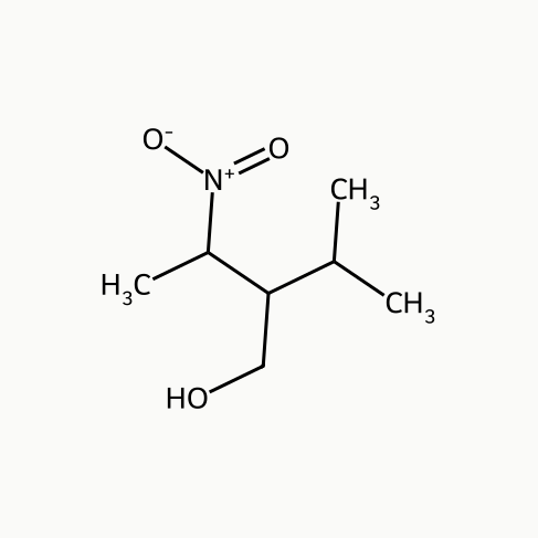 CC(C)C(CO)C(C)[N+](=O)[O-]